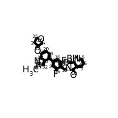 BC1(B)c2ncccc2C(=O)N1Cc1c(F)cc(-c2ccc(O[C@@H]3CCOC3)c3nn(C)cc23)cc1F